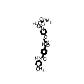 CN1CCC(NC(=O)c2ccc(-c3nc(COC4CCN(C(=O)OC(C)(C)C)CC4)no3)cc2)CC1